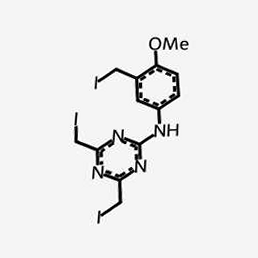 COc1ccc(Nc2nc(CI)nc(CI)n2)cc1CI